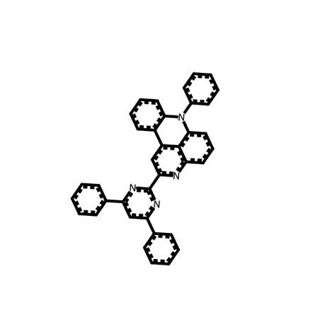 c1ccc(-c2cc(-c3ccccc3)nc(-c3cc4c5c(cccc5n3)N(c3ccccc3)c3ccccc3-4)n2)cc1